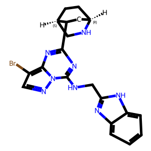 Brc1cnn2c(NCc3nc4ccccc4[nH]3)nc(C3C[C@H]4CC[C@@H]3CN4)nc12